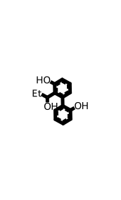 CCC(O)c1c(O)cccc1-c1ccccc1O